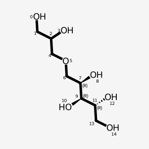 OCC(O)COC[C@@H](O)[C@H](O)[C@H](O)CO